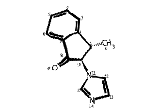 C[C@H]1c2ccccc2C(=O)[C@@H]1n1ccnc1